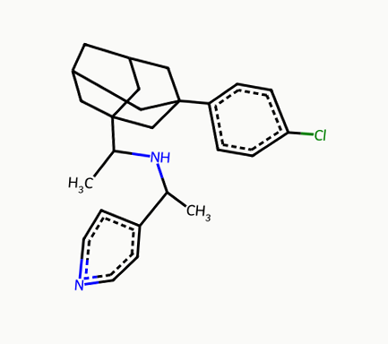 CC(NC(C)C12CC3CC(CC(c4ccc(Cl)cc4)(C3)C1)C2)c1ccncc1